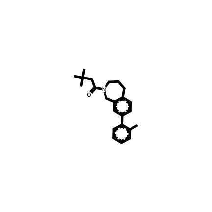 Cc1ccccc1-c1ccc2c(c1)CN(C(=O)CC(C)(C)C)CCC2